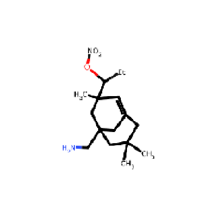 CCC(O[N+](=O)[O-])C1(C)C=C2CC(C)(C)CC(CN)(C2)C1